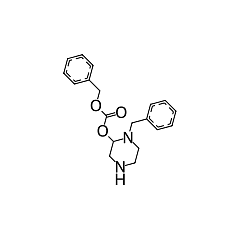 O=C(OCc1ccccc1)OC1CNCCN1Cc1ccccc1